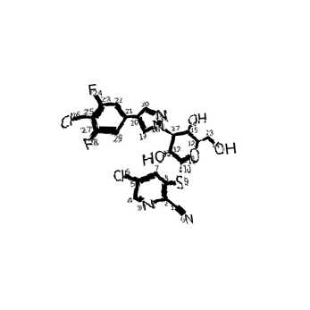 N#Cc1ncc(Cl)cc1S[C@H]1O[C@H](CO)[C@H](O)[C@H](n2cc(-c3cc(F)c(Cl)c(F)c3)cn2)[C@H]1O